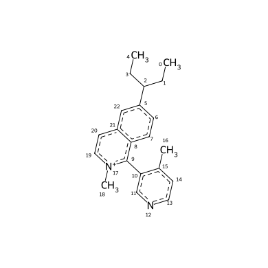 CCC(CC)c1ccc2c(-c3cnccc3C)[n+](C)ccc2c1